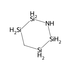 C1[SiH2][SiH2]N[SiH2][SiH2]1